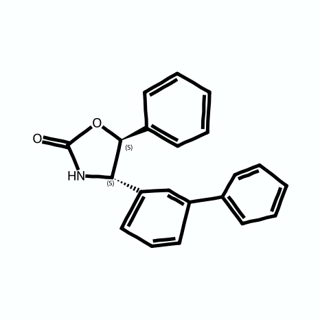 O=C1N[C@@H](c2cccc(-c3ccccc3)c2)[C@H](c2ccccc2)O1